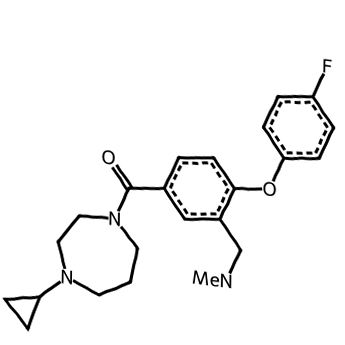 CNCc1cc(C(=O)N2CCCN(C3CC3)CC2)ccc1Oc1ccc(F)cc1